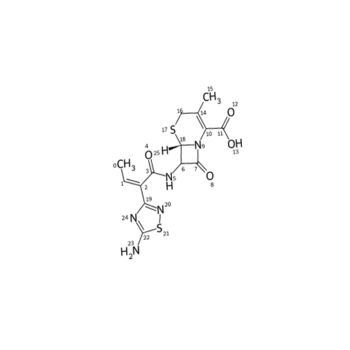 C/C=C(\C(=O)NC1C(=O)N2C(C(=O)O)=C(C)CS[C@@H]12)c1nsc(N)n1